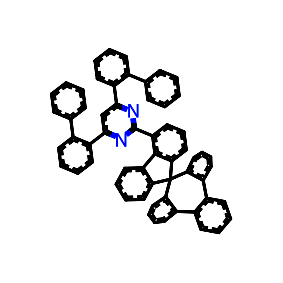 c1ccc(-c2ccccc2-c2cc(-c3ccccc3-c3ccccc3)nc(-c3cccc4c3-c3ccccc3C43c4ccccc4-c4ccccc4-c4ccccc43)n2)cc1